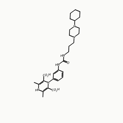 CC1=C(C(=O)O)N(c2cccc(NC(=O)NCCCN3CCN(C4CCCCC4)CC3)c2)C(C(=O)O)=C(C)N1